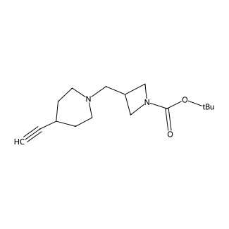 C#CC1CCN(CC2CN(C(=O)OC(C)(C)C)C2)CC1